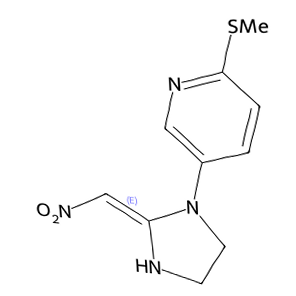 CSc1ccc(N2CCN/C2=C\[N+](=O)[O-])cn1